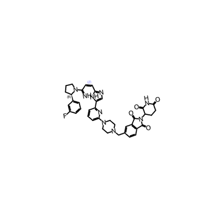 N=C(/C=C\c1ncc(-c2cccc(N3CCN(Cc4ccc5c(c4)C(=O)N(C4CCC(=O)NC4=O)C5=O)CC3)n2)[nH]1)N1CCC[C@@H]1c1cccc(F)c1